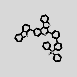 O=P(c1ccccc1)(c1ccccc1)c1cccc(-c2cccc(-c3nc4ccc(-c5cccc6c5oc5ccccc56)cc4c4c3sc3ccccc34)c2)c1